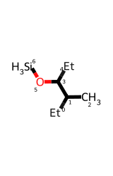 CC[C](C)C(CC)O[SiH3]